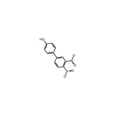 O=[N+]([O-])c1ccc(-c2ccc(O)cc2)cc1[N+](=O)[O-]